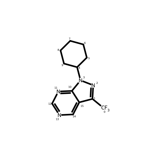 FC(F)(F)c1nn(C2CCCCC2)c2ncncc12